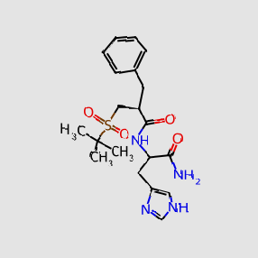 CC(C)(C)S(=O)(=O)C[C@@H](Cc1ccccc1)C(=O)NC(Cc1c[nH]cn1)C(N)=O